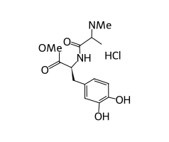 CNC(C)C(=O)N[C@@H](Cc1ccc(O)c(O)c1)C(=O)OC.Cl